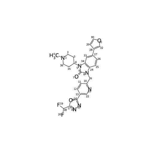 CN1CCC(n2c(=O)n(Cc3ccc(-c4nnc(C(F)F)o4)cn3)c3ccc(-c4ccoc4)cc32)CC1